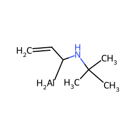 C=C[CH]([AlH2])NC(C)(C)C